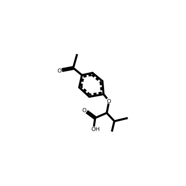 CC(=O)c1ccc(OC(C(=O)O)C(C)C)cc1